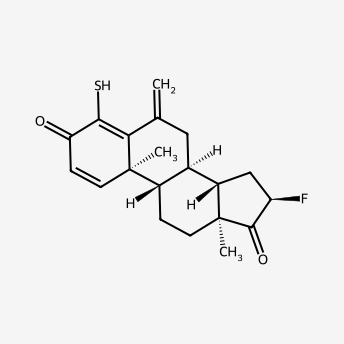 C=C1C[C@@H]2[C@H](CC[C@]3(C)C(=O)[C@H](F)C[C@@H]23)[C@@]2(C)C=CC(=O)C(S)=C12